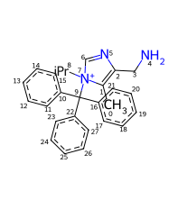 CC1=C(CN)N=C[N+]1(C(C)C)C(c1ccccc1)(c1ccccc1)c1ccccc1